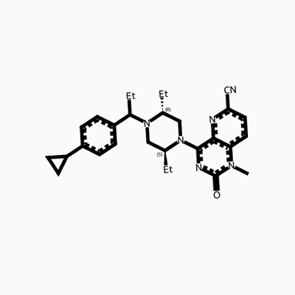 CCC(c1ccc(C2CC2)cc1)N1C[C@H](CC)N(c2nc(=O)n(C)c3ccc(C#N)nc23)C[C@H]1CC